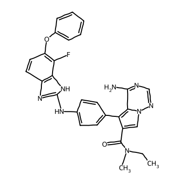 CCN(C)C(=O)c1cn2ncnc(N)c2c1-c1ccc(Nc2nc3ccc(Oc4ccccc4)c(F)c3[nH]2)cc1